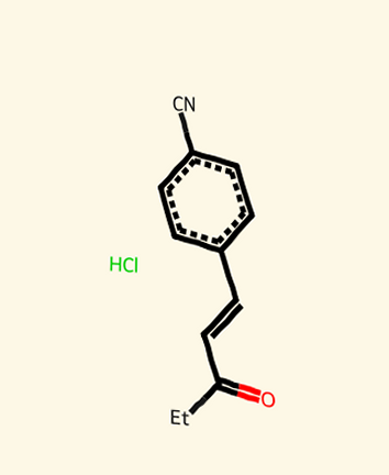 CCC(=O)C=Cc1ccc(C#N)cc1.Cl